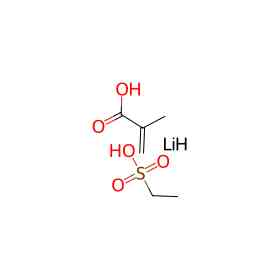 C=C(C)C(=O)O.CCS(=O)(=O)O.[LiH]